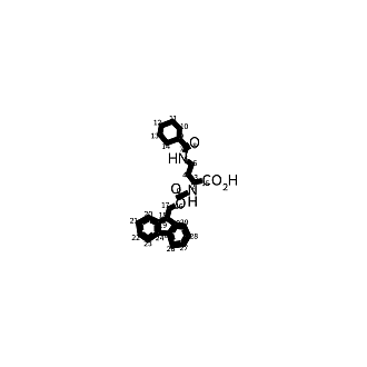 O=C(NC(CCNC(=O)C1CCCCC1)C(=O)O)OCC1c2ccccc2-c2ccccc21